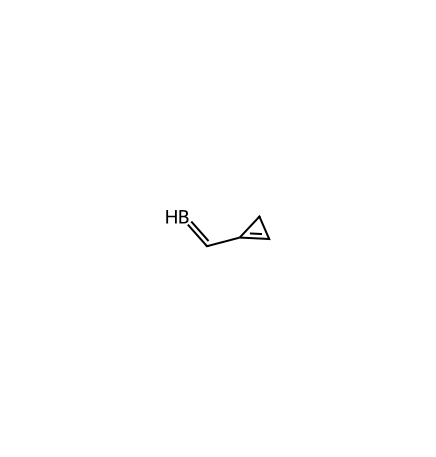 B=CC1=CC1